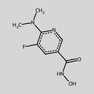 CN(C)c1ncc(C(=O)NO)cc1F